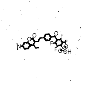 CCc1c(/C=C/c2ccc(C(=O)c3c(F)c(F)c(S(=O)(=O)O)c(F)c3F)cc2)c(=O)oc2cc(N(C)C)ccc12